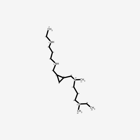 CCNCCCNCC1CC1CN(C)CCCN(C)CC